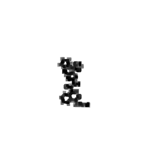 CCCCCC(=O)c1ccccc1NC(=O)Nc1nc(C[SH]2C=CC=C2)c(S(C)(=O)=O)s1